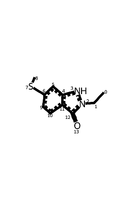 CCn1[nH]c2cc(SC)ccc2c1=O